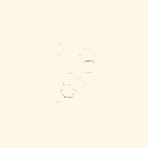 Cc1ccc(C(C)C)c(OPOc2ccc3ccccc3c2-c2c(OP(Oc3cc(C)ccc3C(C)C)Oc3cc(C)ccc3C(C)C)ccc3ccccc23)c1